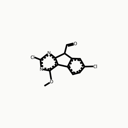 COc1nc(Cl)nc2c1-c1ccc(Cl)cc1C2C=O